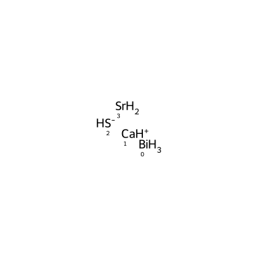 [BiH3].[CaH+].[SH-].[SrH2]